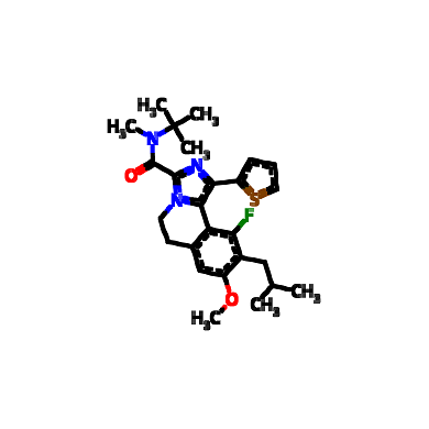 COc1cc2c(c(F)c1CC(C)C)-c1c(-c3cccs3)nc(C(=O)N(C)C(C)(C)C)n1CC2